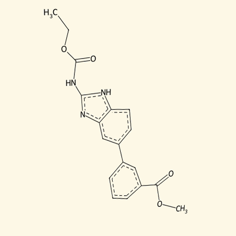 CCOC(=O)Nc1nc2cc(-c3cccc(C(=O)OC)c3)ccc2[nH]1